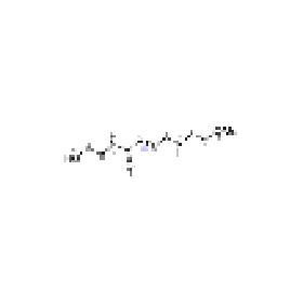 COCCNC/C=C/C(=O)NCCO